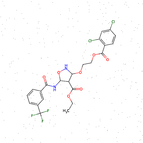 CCOC(=O)C1C(OCCOC(=O)c2ccc(Cl)cc2Cl)NOC1NC(=O)c1cccc(C(F)(F)F)c1